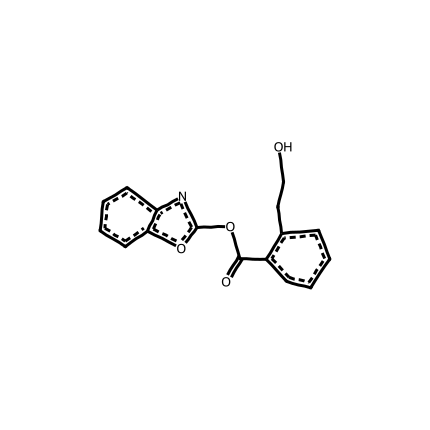 O=C(Oc1nc2ccccc2o1)c1ccccc1CCO